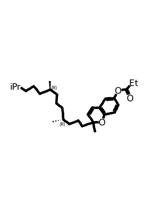 CCC(=O)Oc1ccc2c(c1)C=CC(C)(CCC[C@H](C)CCC[C@H](C)CCCC(C)C)O2